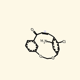 Nc1cc2cc(Cl)c1/C=C\C(=O)c1cccc(c1)OCO2